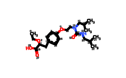 CCOC(Cc1ccc(OCCN(CC(C)C)C(=O)NCC(C)C)cc1)C(=O)O